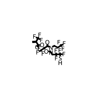 C=C(C(=O)OC(OCCC(F)(F)C(F)(F)S)(C(=O)NCCC(F)(F)F)C(F)(F)F)C(F)(F)F